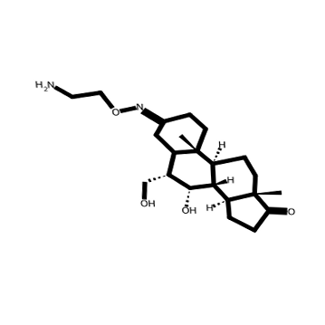 C[C@]12CC/C(=N/OCCN)CC1[C@@H](CO)[C@@H](O)[C@@H]1[C@@H]2CC[C@]2(C)C(=O)CC[C@@H]12